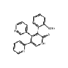 COc1ccccc1-c1c(-c2cccnc2)c(-c2ccccn2)c[nH]c1=O